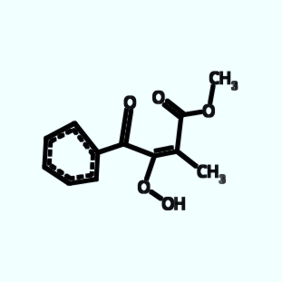 COC(=O)C(C)=C(OO)C(=O)c1ccccc1